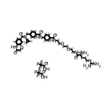 NC(N)=NCCC[C@H](N)C(=O)NCCOCCOCCNC(=O)c1ccc(NC(=O)c2ccc(CN(C(=O)c3ccc4c(c3)OCC(=O)N4)C3CC3)cc2)cc1.O=C(O)C(F)(F)F.O=C(O)C(F)(F)F